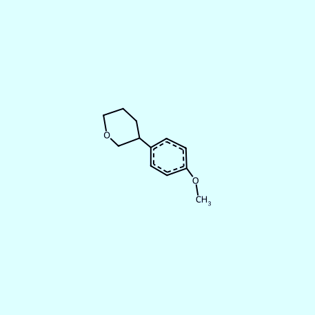 COc1ccc(C2CCCOC2)cc1